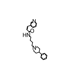 O=C(/C=C\c1cccnc1)NCCCCN1CCC(c2ccccc2)CC1